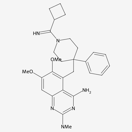 CNc1nc(N)c2c(CC3(c4ccccc4)CCN(C(=N)C4CCC4)CC3)c(OC)c(OC)cc2n1